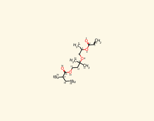 C=CC(=O)OC(C)COC(C)(C)CCOC(=O)C(CC(C)(C)C)C(C)(C)C